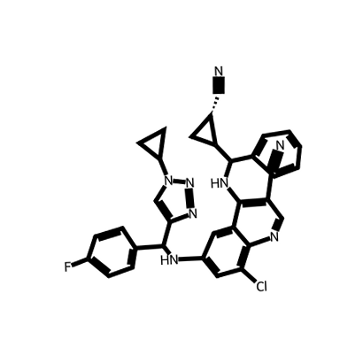 N#Cc1cnc2c(Cl)cc(NC(c3ccc(F)cc3)c3cn(C4CC4)nn3)cc2c1NC(c1ccccc1)C1C[C@@H]1C#N